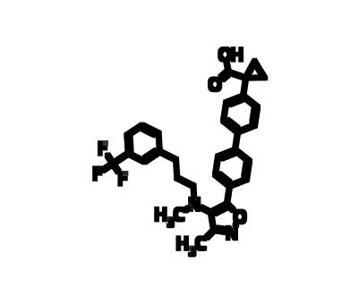 Cc1noc(-c2ccc(-c3ccc(C4(C(=O)O)CC4)cc3)cc2)c1N(C)CCCc1cccc(C(F)(F)F)c1